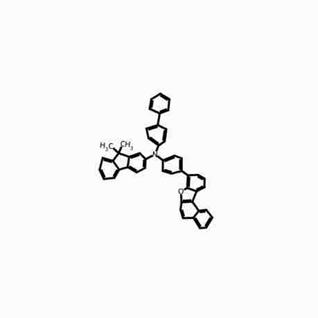 CC1(C)c2ccccc2-c2ccc(N(c3ccc(-c4ccccc4)cc3)c3ccc(-c4cccc5c4oc4ccc6ccccc6c45)cc3)cc21